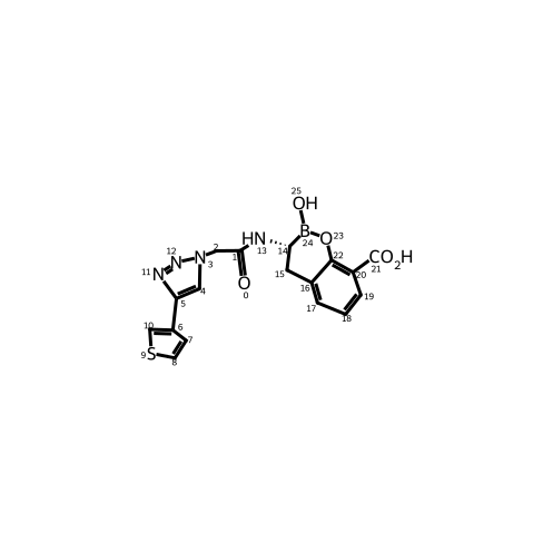 O=C(Cn1cc(-c2ccsc2)nn1)N[C@H]1Cc2cccc(C(=O)O)c2OB1O